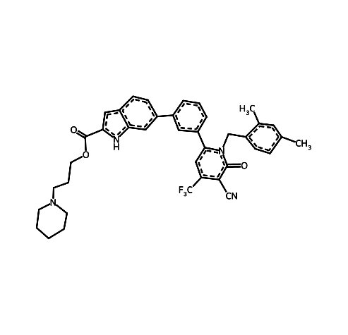 Cc1ccc(Cn2c(-c3cccc(-c4ccc5cc(C(=O)OCCCN6CCCCC6)[nH]c5c4)c3)cc(C(F)(F)F)c(C#N)c2=O)c(C)c1